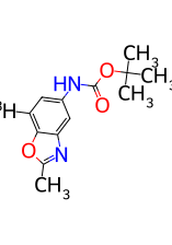 [3H]c1cc(NC(=O)OC(C)(C)C)cc2nc(C)oc12